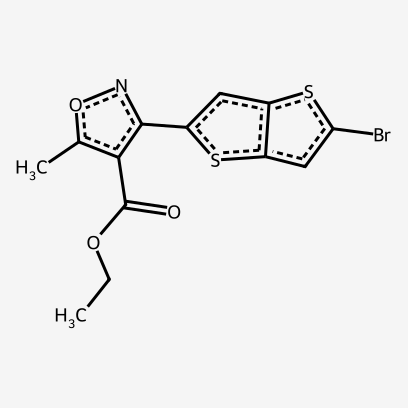 CCOC(=O)c1c(-c2cc3sc(Br)cc3s2)noc1C